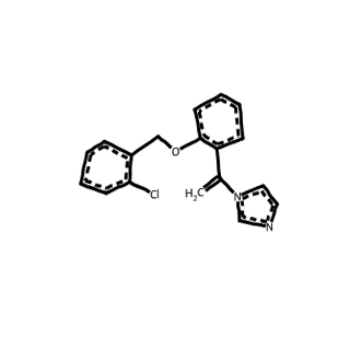 C=C(c1ccccc1OCc1ccccc1Cl)n1ccnc1